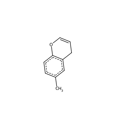 Cc1ccc2c(c1)CC=CO2